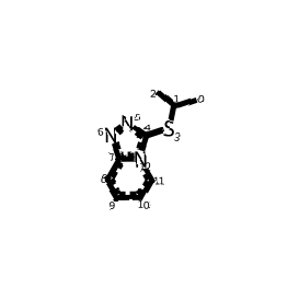 CC(C)Sc1nnc2ccccn12